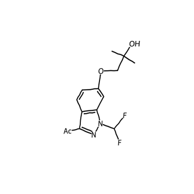 CC(=O)c1nn(C(F)F)c2cc(OCC(C)(C)O)ccc12